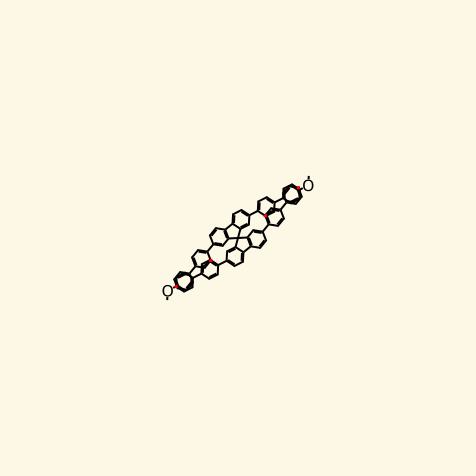 COc1ccc(-c2ccc(-c3ccc4c(c3)C3(c5cc(-c6ccc(-c7ccccc7)cc6)ccc5-4)c4cc(-c5ccc(-c6ccccc6)cc5)ccc4-c4ccc(-c5ccc(-c6ccc(OC)cc6)cc5)cc43)cc2)cc1